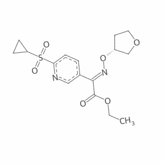 CCOC(=O)/C(=N/O[C@@H]1CCOC1)c1ccc(S(=O)(=O)C2CC2)nc1